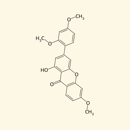 COc1ccc(-c2cc(O)c3c(=O)c4ccc(OC)cc4oc3c2)c(OC)c1